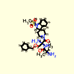 CC(C)(N)C(=O)N[C@](N)(COCc1ccccc1)C(=O)N1CCC2(CC1)CN(S(C)(=O)=O)c1ccccc12